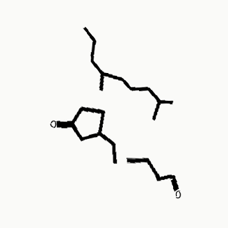 CCC1CCC(=O)C1.CCCC(C)CCCC(C)C.CCCC=O